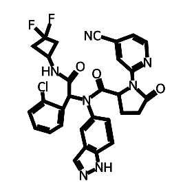 N#Cc1ccnc(N2C(=O)CCC2C(=O)N(c2ccc3[nH]ncc3c2)C(C(=O)NC2CC(F)(F)C2)c2ccccc2Cl)c1